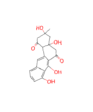 CC1(O)CC(=O)C2c3cc4cccc(O)c4c(O)c3C(=O)CC2(O)C1